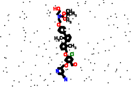 Cc1c(COc2cc(OCc3cncc(C#N)c3)c(C=O)cc2Cl)cccc1-c1cccc(-c2ccc(OCCN(CCO)C(=O)OC(C)(C)C)cc2)c1C